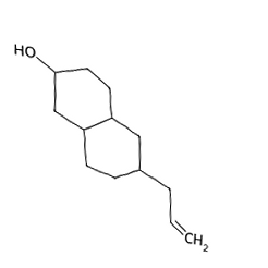 C=CCC1CCC2CC(O)CCC2C1